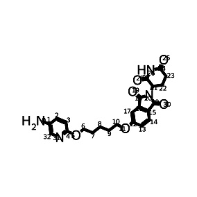 Nc1ccc(OCCCCCOc2ccc3c(c2)C(=O)N(C2CCC(=O)NC2=O)C3=O)nc1